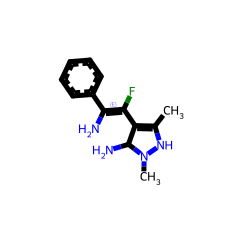 CC1=C(/C(F)=C(\N)c2ccccc2)C(N)N(C)N1